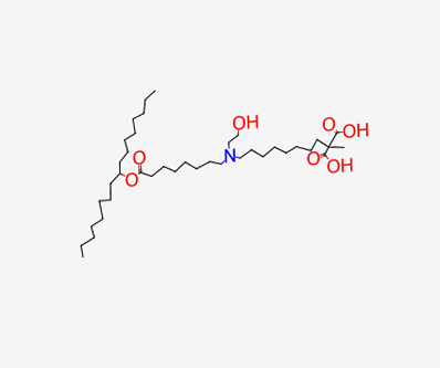 CCCCCCCCC(CCCCCCCC)OC(=O)CCCCCCCN(CCO)CCCCCCCCC(C)(C(=O)O)C(=O)O